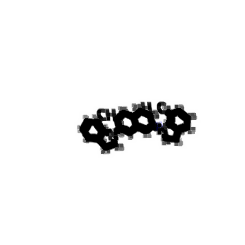 Cc1cccc2c1N(C1=CC3=C/C(=[N+]4\CCc5cccc(C)c54)CCC3CC1)CC2